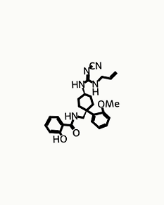 C=CCN/C(=N\C#N)N[C@H]1CC[C@](CNC(=O)c2ccccc2O)(c2ccccc2OC)CC1